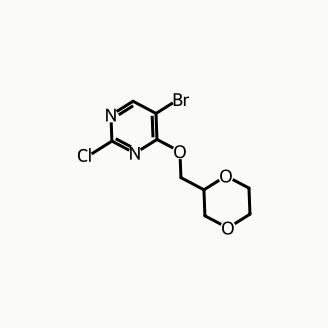 Clc1ncc(Br)c(OCC2COCCO2)n1